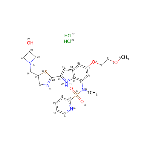 COCCOc1cc(N(C)S(=O)(=O)c2ccccn2)c2[nH]c(C3=NCC(CN4CC(O)C4)S3)cc2c1.Cl.Cl